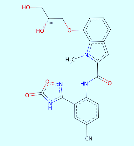 Cn1c(C(=O)Nc2ccc(C#N)cc2-c2noc(=O)[nH]2)cc2cccc(OC[C@H](O)CO)c21